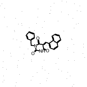 O=C1NC(=O)N(Cc2ccccc2)C(=O)/C1=C/c1cccc2ccccc12